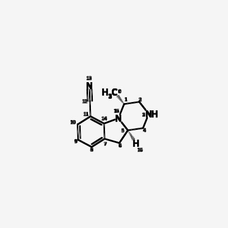 C[C@@H]1CNC[C@H]2Cc3cccc(C#N)c3N21